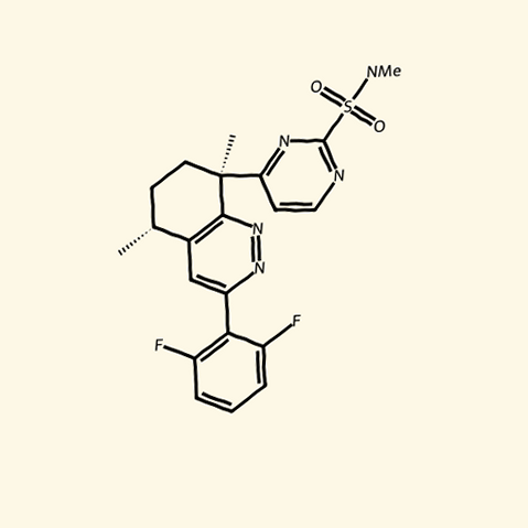 CNS(=O)(=O)c1nccc([C@]2(C)CC[C@@H](C)c3cc(-c4c(F)cccc4F)nnc32)n1